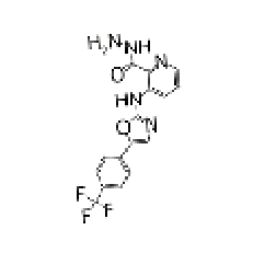 NNC(=O)c1ncccc1Nc1ncc(-c2ccc(C(F)(F)F)cc2)o1